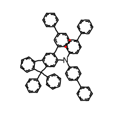 c1ccc(-c2ccc(N(c3ccc(-c4ccccc4)cc3)c3cc4c(cc3-c3cccc(-c5ccccc5)c3)-c3ccccc3C4(c3ccccc3)c3ccccc3)cc2)cc1